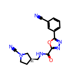 N#Cc1cccc(-c2nnc(C(=O)NC[C@H]3CCN(C#N)C3)o2)c1